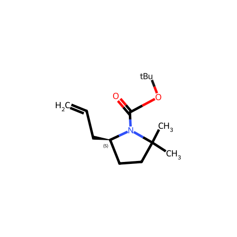 C=CC[C@@H]1CCC(C)(C)N1C(=O)OC(C)(C)C